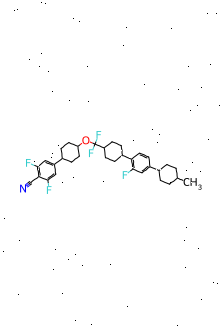 CC1CCC(c2ccc(C3CCC(C(F)(F)OC4CCC(c5cc(F)c(C#N)c(F)c5)CC4)CC3)c(F)c2)CC1